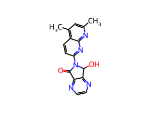 Cc1cc(C)c2ccc(N3C(=O)c4nccnc4C3O)nc2n1